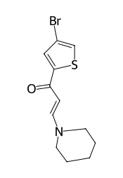 O=C(C=CN1CCCCC1)c1cc(Br)cs1